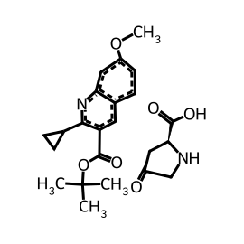 COc1ccc2cc(C(=O)OC(C)(C)C)c(C3CC3)nc2c1.O=C1CN[C@H](C(=O)O)C1